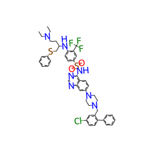 CCN(CC)CCC(CSc1ccccc1)Nc1ccc(S(=O)(=O)Nc2ncnc3cc(N4CCN(Cc5cc(Cl)ccc5-c5ccccc5)CC4)ccc23)cc1C(F)(F)F